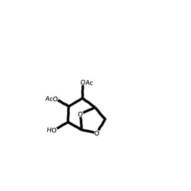 CC(=O)OC1C2COC(O2)C(O)C1OC(C)=O